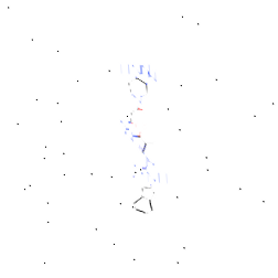 C=N/C(=N\C=C(/C)c1nnc(CC(=O)N2CCc3[nH]nnc3C2)o1)NC1Cc2ccccc2C1